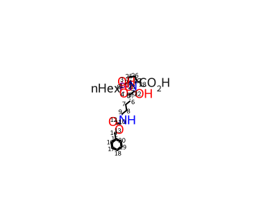 CCCCCCP(=O)(O)O[C@@H](CCCCNC(=O)OCc1ccccc1)C(O)N1CCC[C@H]1C(=O)O